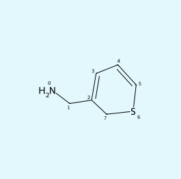 NCC1=CC=CSC1